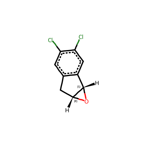 Clc1cc2c(cc1Cl)[C@@H]1O[C@@H]1C2